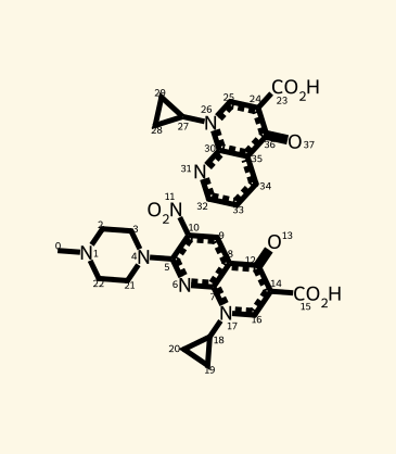 CN1CCN(c2nc3c(cc2[N+](=O)[O-])c(=O)c(C(=O)O)cn3C2CC2)CC1.O=C(O)c1cn(C2CC2)c2ncccc2c1=O